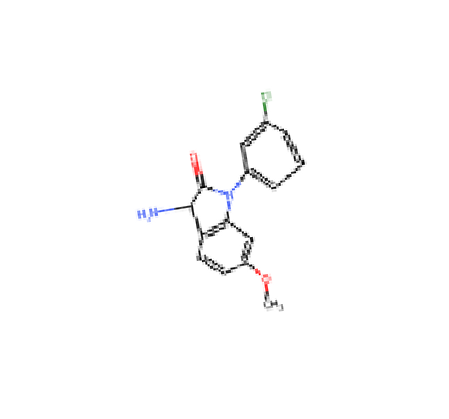 COc1ccc2c(c1)N(c1cccc(Cl)c1)C(=O)C2N